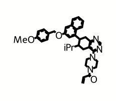 C=CC(=O)N1CCN(c2ncnc3c2CC(C(C)C)C(c2cc(OCc4ccc(OC)cc4)cc4ccccc24)C3)CC1